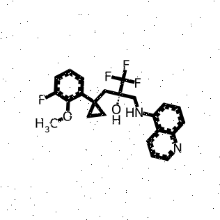 COc1c(F)cccc1C1(C[C@](O)(CNc2cccc3ncccc23)C(F)(F)F)CC1